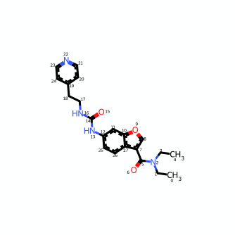 CCN(CC)C(=O)c1coc2cc(NC(=O)NCCc3ccncc3)ccc12